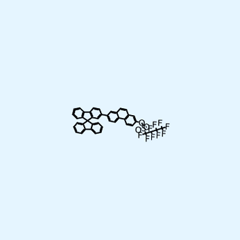 O=S(=O)(Oc1ccc2c(ccc3cc(-c4ccc5c(c4)C4(C6=C5C=C=C=C6)c5ccccc5-c5ccccc54)ccc32)c1)C(F)(F)C(F)(F)C(F)(F)C(F)(F)F